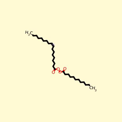 CCCCCCCC/C=C\CCCCCCCC(=O)OOC(=O)CCCCCCCCCCC